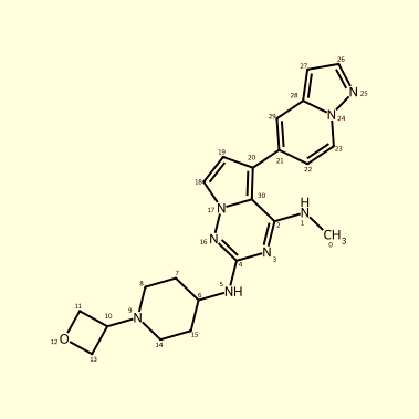 CNc1nc(NC2CCN(C3COC3)CC2)nn2ccc(-c3ccn4nccc4c3)c12